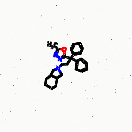 Cc1nnc(C(CCN2CC3CCCCC3C2)(c2ccccc2)c2ccccc2)o1